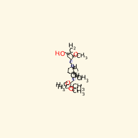 C=C1[C@H](CO)C/C(=C/C=C2\CCC[C@]3(C)[C@@H]([C@H](C)/C=C/C(OC)C(C)(C)OC)CC[C@@H]23)C[C@H]1OC